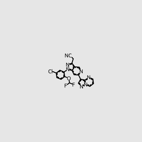 N#CCc1nn(-c2cc(Cl)ccc2OC(F)F)c2cc(-c3cnn4cccnc34)ncc12